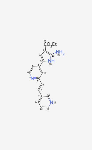 CCOC(=O)c1cc(-c2ccnc(/C=C/c3cccnc3)c2)[nH]c1N